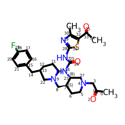 CC(=O)CN1CC[C@@H](CN2CCCC(Cc3ccc(F)cc3)C2)[C@@H](NC(=O)Nc2nc(C)c(C(C)=O)s2)C1